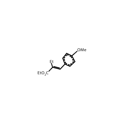 CCOC(=O)C(=Cc1ccc(OC)cc1)CC